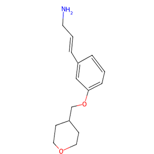 NCC=Cc1cccc(OCC2CCOCC2)c1